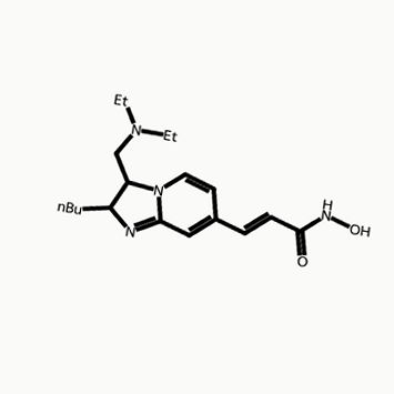 CCCCC1N=C2C=C(/C=C/C(=O)NO)C=CN2C1CN(CC)CC